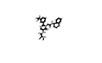 CNC(C)C(=O)Nc1cnc(-c2cccc(C(F)(F)F)c2)n(CC(=O)NC2CCCc3ccccc32)c1=O